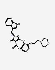 O=C(O)C1=C(Nc2ccccc2OCCN2CCOCC2)O/C(=C\c2c[nH]c3ncccc23)C1=O